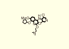 COc1ccc2c(Nc3c(Cl)cncc3Cl)cc(OCCN(C)C)nc2c1OC1CCCC1